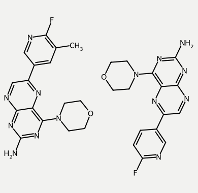 Cc1cc(-c2cnc3nc(N)nc(N4CCOCC4)c3n2)cnc1F.Nc1nc(N2CCOCC2)c2nc(-c3ccc(F)nc3)cnc2n1